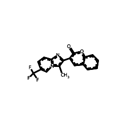 Cc1c(-c2cc3ccccc3oc2=O)nc2ccc(C(F)(F)F)cn12